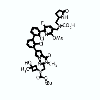 COc1nc(-c2cccc(-c3cccc(-c4cc5c(=O)n(C)c(CN(C(=O)OC(C)(C)C)C6CC(C)(O)C6)nn5c4)c3Cl)c2Cl)c(F)cc1CN(CC1CCC(=O)N1)C(=O)O